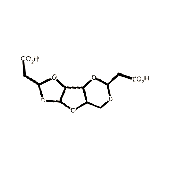 O=C(O)CC1OCC2OC3OC(CC(=O)O)OC3C2O1